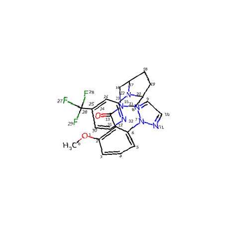 COc1cccc(-n2nccn2)c1C(=O)N1CC2CCC(C1)N2c1cc(C(F)(F)F)ccn1